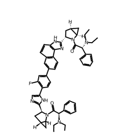 CCN(CC)[C@@H](C(=O)N1[C@@H]2C[C@@H]2C[C@H]1c1ncc(-c2ccc(-c3ccc4c(ccc5[nH]c([C@@H]6C[C@H]7C[C@H]7N6C(=O)[C@@H](c6ccccc6)N(CC)CC)nc54)c3)cc2F)[nH]1)c1ccccc1